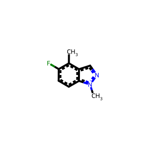 Cc1c(F)ccc2c1cnn2C